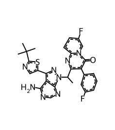 CC(c1nc2ccc(F)cn2c(=O)c1-c1cccc(F)c1)n1nc(-c2cnc(C(C)(C)C)s2)c2c(N)ncnc21